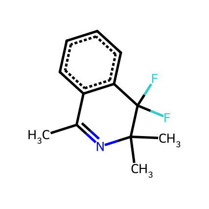 CC1=NC(C)(C)C(F)(F)c2ccccc21